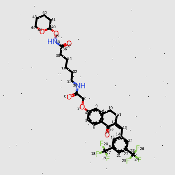 O=C(COc1ccc2c(c1)CCC(=Cc1cc(C(F)(F)F)cc(C(F)(F)F)c1)C2=O)NCCCCCC(=O)NOC1CCCCO1